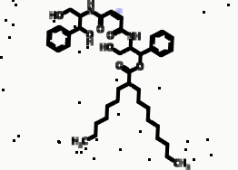 CCCCCCCCCC(CCCCCCC)C(=O)OC(c1ccccc1)C(CO)NC(=O)/C=C\C(=O)NC(CO)C(O)c1ccccc1